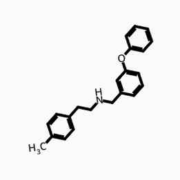 Cc1ccc(CCNCc2cccc(Oc3ccccc3)c2)cc1